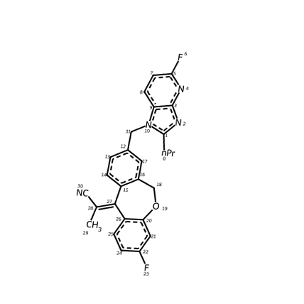 CCCc1nc2nc(F)ccc2n1Cc1ccc2c(c1)COc1cc(F)ccc1/C2=C(\C)C#N